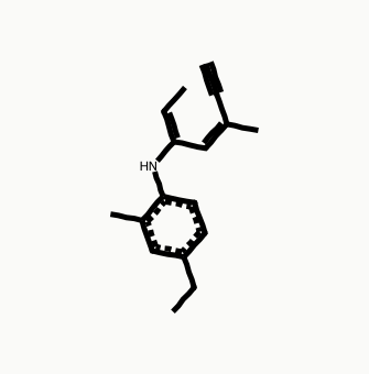 C#C/C(C)=C\C(=C/C)Nc1ccc(CC)cc1C